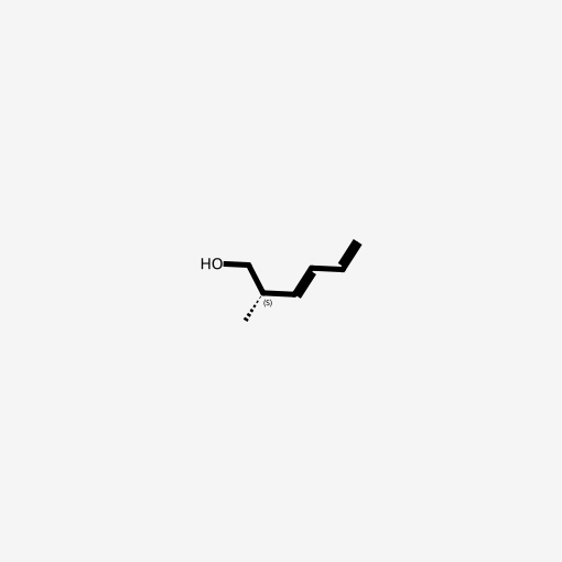 C=CC=C[C@H](C)CO